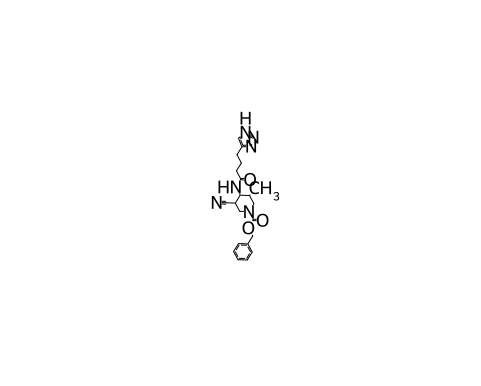 CC1CN(C(=O)OCc2ccccc2)CC(C#N)C1NC(=O)CCCc1c[nH]nn1